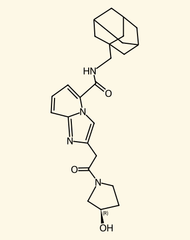 O=C(NCC12CC3CC(CC(C3)C1)C2)c1cccc2nc(CC(=O)N3CC[C@@H](O)C3)cn12